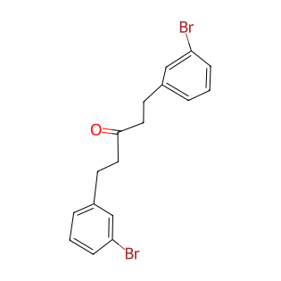 O=C(CCc1cccc(Br)c1)CCc1cccc(Br)c1